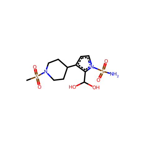 CS(=O)(=O)N1CCC(c2ccn(S(N)(=O)=O)c2C(O)O)CC1